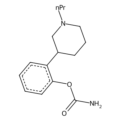 CCCN1CCCC(c2ccccc2OC(N)=O)C1